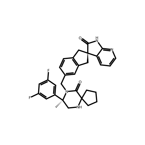 C[C@@]1(c2cc(F)cc(F)c2)CNC2(CCCC2)C(=O)N1Cc1ccc2c(c1)C[C@@]1(C2)C(=O)Nc2ncccc21